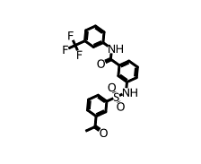 CC(=O)c1cccc(S(=O)(=O)Nc2cccc(C(=O)Nc3cccc(C(F)(F)F)c3)c2)c1